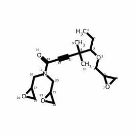 CCC(OCC1CO1)C(C)(C)C#CC(=O)N(CC1CO1)CC1CO1